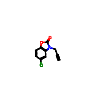 C#CCn1c(=O)oc2ccc(Cl)cc21